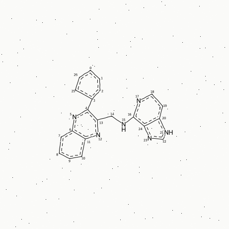 c1ccc(-c2nc3ccccc3nc2CNc2nccc3[nH]cnc23)cc1